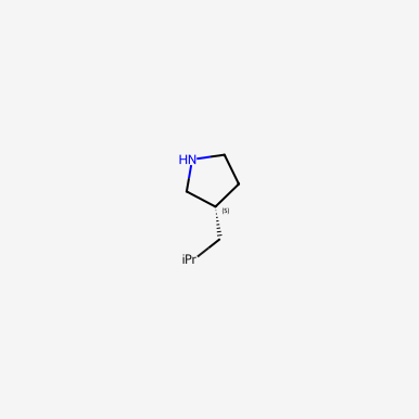 CC(C)C[C@H]1CCNC1